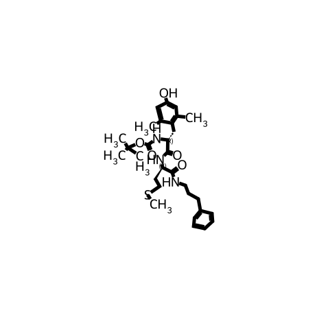 CSCC[C@@H](NC(=O)[C@@H](Cc1c(C)cc(O)cc1C)NC(=O)OC(C)(C)C)C(=O)NCCCc1ccccc1